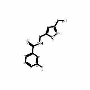 O=C(NCc1cc(CCl)no1)c1cccc(F)c1